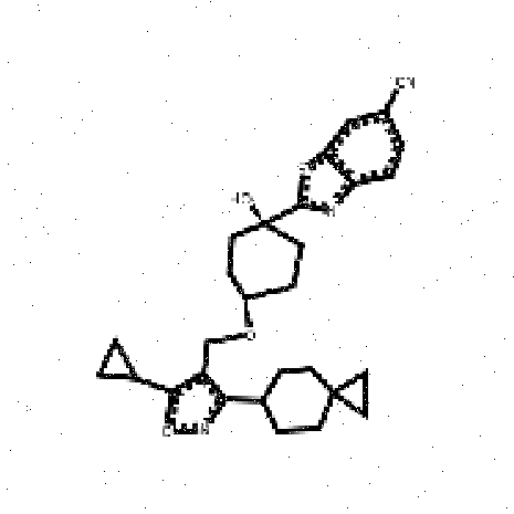 N#Cc1ccc2nc([C@]3(O)CC[C@@H](OCc4c(C5CCC6(CC5)CC6)noc4C4CC4)CC3)sc2c1